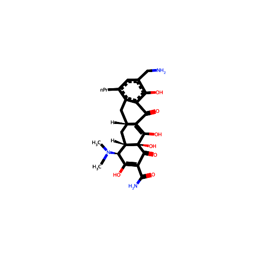 CCCc1cc(CN)c(O)c2c1C[C@H]1C[C@H]3[C@H](N(C)C)C(O)=C(C(N)=O)C(=O)[C@@]3(O)C(O)=C1C2=O